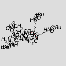 C/C=C\C1/C(=N/C(=O)CCCCCCCNC(=O)OC(C)(C)C)C2(CCC(=O)N(C)CCOCCN(C)C(=O)C3C[C@H](C)CN3C(=O)c3ccc4c(=O)oc(=O)n(C)c4c3)c3cc(NC(=O)CCCCCCCNC(=O)OC(C)(C)C)ccc3C1/C(=N/C(=O)CCCCCCCNC(=O)OC(C)(C)C)C2/C=C\C